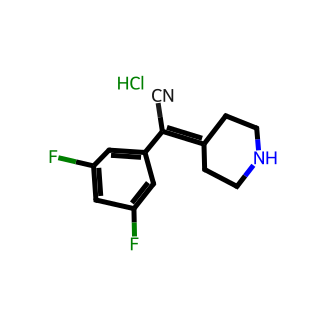 Cl.N#CC(=C1CCNCC1)c1cc(F)cc(F)c1